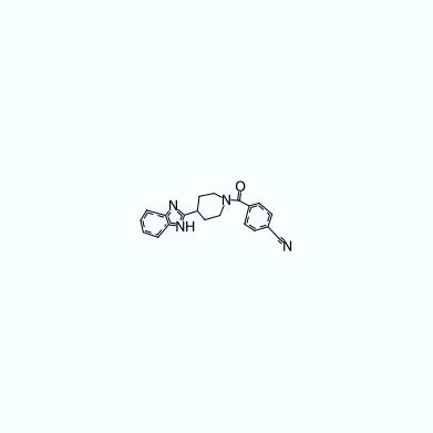 N#Cc1ccc(C(=O)N2CCC(c3nc4ccccc4[nH]3)CC2)cc1